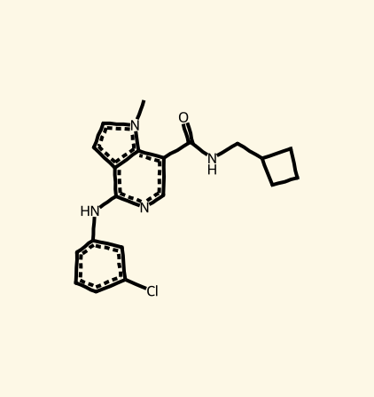 Cn1ccc2c(Nc3cccc(Cl)c3)ncc(C(=O)NCC3CCC3)c21